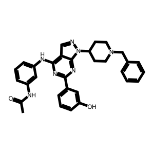 CC(=O)Nc1cccc(Nc2nc(-c3cccc(O)c3)nc3c2cnn3C2CCN(Cc3ccccc3)CC2)c1